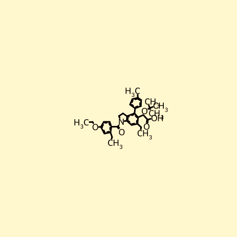 CCOc1ccc(C(=O)N2CCc3c2cc(CC)c(C(OC(C)(C)C)C(=O)O)c3-c2ccc(C)cc2)c(CC)c1